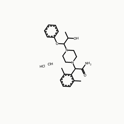 Cc1cccc(C)c1C(C(N)=O)N1CCN(C(Oc2ccccc2)C(C)O)CC1.Cl.Cl